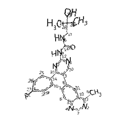 Cc1ncnc2ccc(-c3cnc(NC(=O)NCC(C)(C)O)nc3-c3ccc(F)cc3)cc12